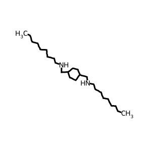 CCCCCCCCCNCC1CCC(CNCCCCCCCCC)CC1